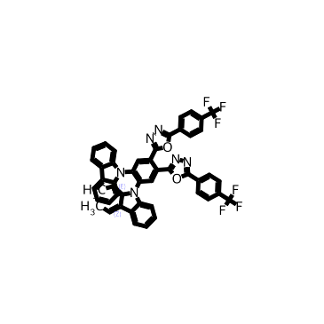 C/C=c1\c(=C/C)n(-c2cc(-c3nnc(-c4ccc(C(F)(F)F)cc4)o3)c(-c3nnc(-c4ccc(C(F)(F)F)cc4)o3)cc2-n2c3ccccc3c3ccccc32)c2ccccc12